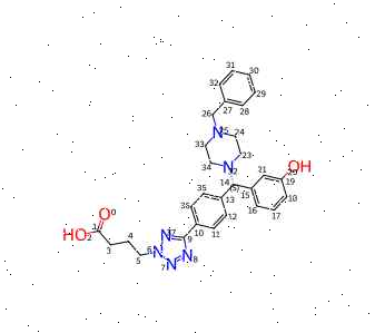 O=C(O)CCCn1nnc(-c2ccc([C@@H](c3cccc(O)c3)N3CCN(Cc4ccccc4)CC3)cc2)n1